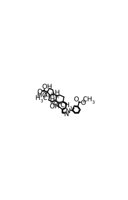 COC(=O)c1cccc(-n2ncc3c2C=C2CC[C@H]4[C@@H]([C@H](O)C[C@]5(C)[C@@H]4CC[C@@]5(O)C(=O)O)[C@]2(C)C3)c1